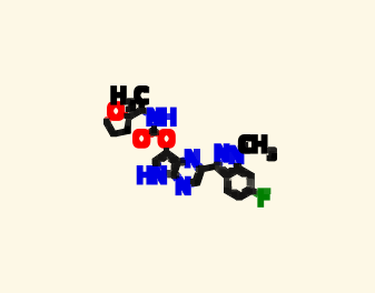 C[C@@H](NC(=O)Oc1c[nH]c2ncc(-c3nn(C)c4cc(F)ccc34)nc12)[C@H]1CCCO1